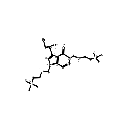 C[Si](C)(C)CCOCn1ncc2c(c(C(O)CBr)cn2COCC[Si](C)(C)C)c1=O